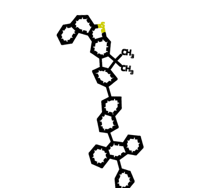 CC1(C)c2cc(-c3ccc4cc(-c5c6ccccc6c(-c6ccccc6)c6ccccc56)ccc4c3)ccc2-c2cc3c(cc21)sc1ccc2ccccc2c13